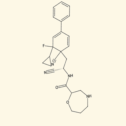 N#C[C@H](CC1(C#N)C=CC(c2ccccc2)=CC1(F)C1CC1)NC(=O)C1CNCCCO1